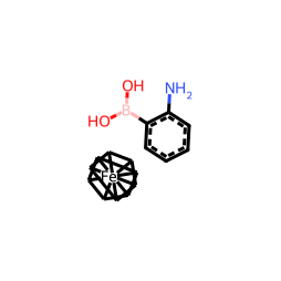 Nc1ccccc1B(O)O.[CH]12[CH]3[CH]4[CH]5[CH]1[Fe]23451678[CH]2[CH]1[CH]6[CH]7[CH]28